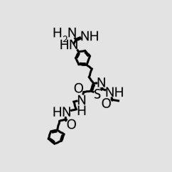 CC(=O)Nc1nc(CCc2ccc(NC(=N)N)cc2)c(C(=O)NCCNC(=O)Cc2ccccc2)s1